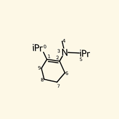 CC(C)C1=C(N(C)C(C)C)CCCC1